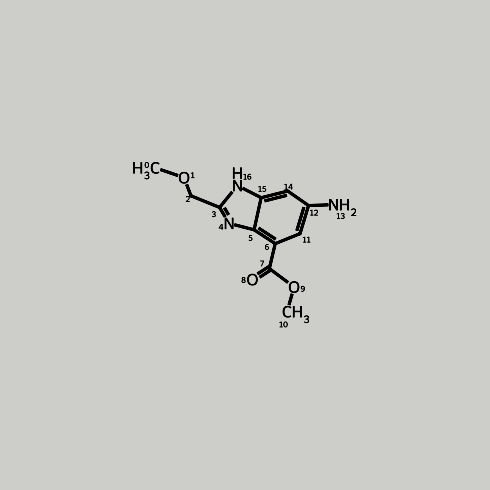 COCc1nc2c(C(=O)OC)cc(N)cc2[nH]1